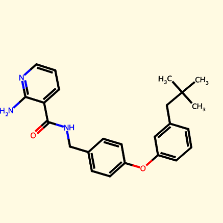 CC(C)(C)Cc1cccc(Oc2ccc(CNC(=O)c3cccnc3N)cc2)c1